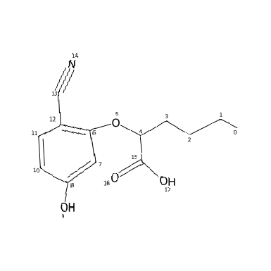 CCCCC(Oc1cc(O)ccc1C#N)C(=O)O